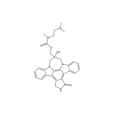 CN(C)CCN(C)C(=O)OCC1(O)Cn2c3ccccc3c3c4c(c5c6ccccc6n(c5c32)C1)C(=O)NC4